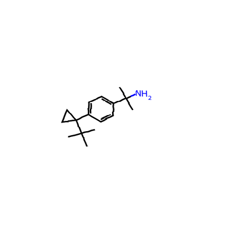 CC(C)(N)c1ccc(C2(C(C)(C)C)CC2)cc1